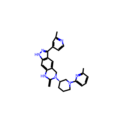 C=C1Nc2cc3[nH]nc(-c4ccnc(C)c4)c3cc2CN1[C@@H]1CCCN(c2cccc(C)n2)C1